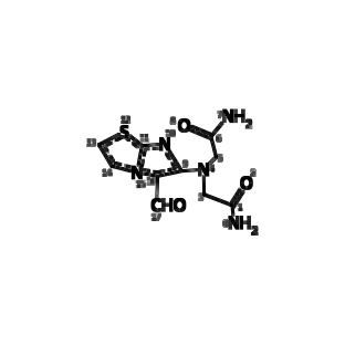 NC(=O)CN(CC(N)=O)c1nc2sccn2c1C=O